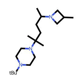 CC1CN(C(C)CCC(C)(C)N2CCN(C(C)(C)C)CC2)C1